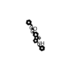 CN1C2C=CC(OC(=O)OCc3ccccc3)=CC2C2CCC(NCc3ccccc3)C21